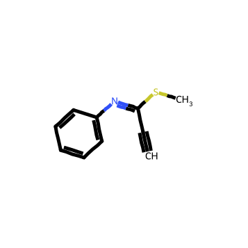 C#C/C(=N\c1ccccc1)SC